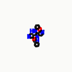 CN1CCc2[nH]c(C3CC=NC=C3OCc3ccccc3)c(Nc3ccccc3)c2C1=O